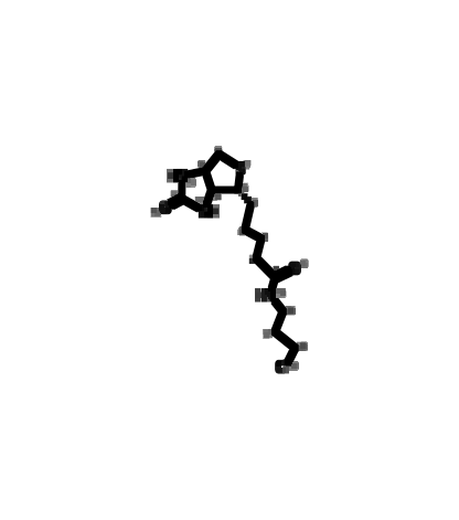 O=C(CCCC[C@H]1SCC2NC(=O)NC21)NCCCCl